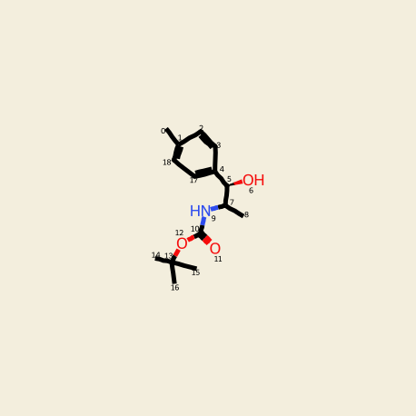 Cc1ccc([C@@H](O)C(C)NC(=O)OC(C)(C)C)cc1